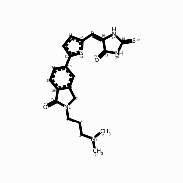 CN(C)CCCN1Cc2cc(-c3ccc(C=C4NC(=S)NC4=O)s3)ccc2C1=O